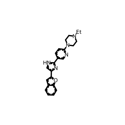 CCN1CCN(c2ccc(-c3nc(-c4cc5ccccc5o4)c[nH]3)cn2)CC1